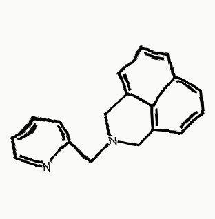 c1ccc(CN2Cc3cccc4cccc(c34)C2)nc1